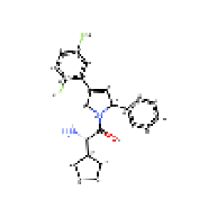 N[C@H](C(=O)N1CC(c2cc(F)ccc2F)=CC1c1ccccc1)C1CCCC1